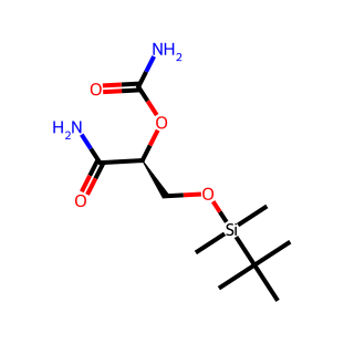 CC(C)(C)[Si](C)(C)OC[C@H](OC(N)=O)C(N)=O